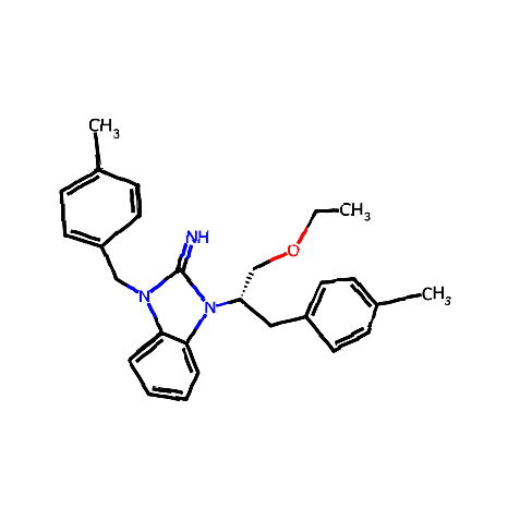 CCOC[C@H](Cc1ccc(C)cc1)n1c(=N)n(Cc2ccc(C)cc2)c2ccccc21